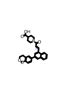 O=C(O)C1CCN(C(=O)/C=C/c2cc(-c3ccc4c(c3)CCOO4)[c]c3ccccc23)CC1